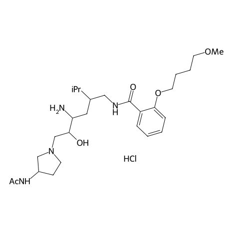 COCCCCOc1ccccc1C(=O)NCC(CC(N)C(O)CN1CCC(NC(C)=O)C1)C(C)C.Cl